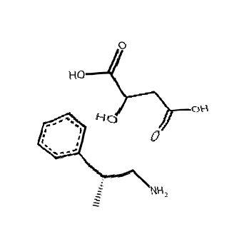 C[C@@H](CN)c1ccccc1.O=C(O)CC(O)C(=O)O